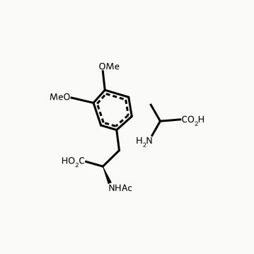 CC(N)C(=O)O.COc1ccc(C[C@@H](NC(C)=O)C(=O)O)cc1OC